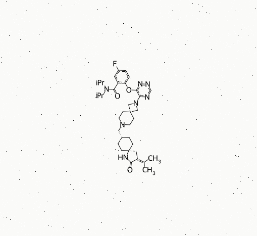 CC(C)=C1C[C@]2(CC[C@@H](CN3CCC4(CC3)CN(c3ncnnc3Oc3ccc(F)cc3C(=O)N(C(C)C)C(C)C)C4)CC2)NC1=O